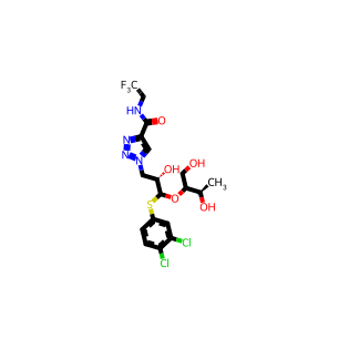 C[C@@H](O)C(CO)OC(Sc1ccc(Cl)c(Cl)c1)[C@@H](O)Cn1cc(C(=O)NCC(F)(F)F)nn1